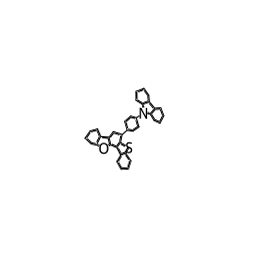 c1ccc2c(c1)oc1c2cc(-c2ccc(-n3c4ccccc4c4ccccc43)cc2)c2sc3ccccc3c21